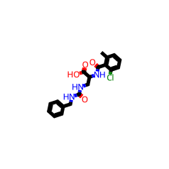 Cc1cccc(Cl)c1C(=O)NC(CNC(=O)NCc1ccccc1)C(=O)O